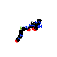 CCc1nc2c(cnn2CC)c(NC2CCOCC2)c1CNC(=O)CCCC(=O)NCc1ccc(F)c(-c2cccc(CN3CCC(N4CCOCC4)CC3)c2)c1